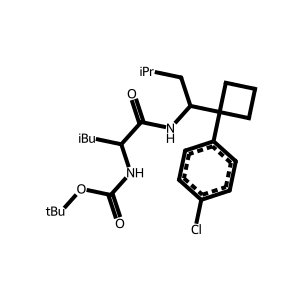 CCC(C)C(NC(=O)OC(C)(C)C)C(=O)NC(CC(C)C)C1(c2ccc(Cl)cc2)CCC1